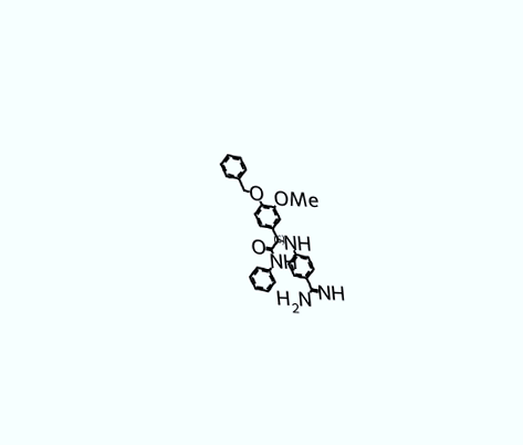 COc1cc([C@H](Nc2ccc(C(=N)N)cc2)C(=O)Nc2ccccc2)ccc1OCc1ccccc1